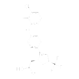 Cc1c(Cl)cccc1Oc1ccc(N2C[C@@H](C(F)(F)F)C[C@H]2CC(=O)O)cc1